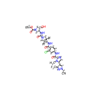 Cn1c(-c2cn(CC#N)nc2C(F)(F)F)cnc1C(=O)Nc1ccc(C(=O)N[C@H]2[C@@H]3CN(C(=O)N[C@H]4CN(C(=O)OC(C)(C)C)C[C@@H]4O)C[C@@H]32)c(Cl)c1